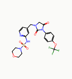 O=C1CN(Cc2ccnc(NS(=O)(=O)N3CCOCC3)c2)C(=O)N1c1ccc(OC(F)(F)F)cc1